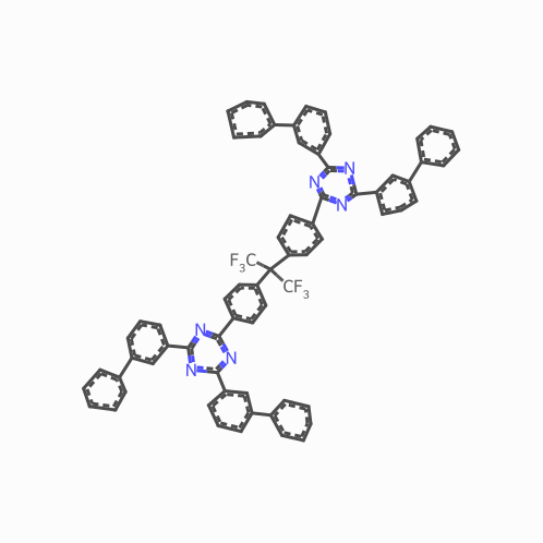 FC(F)(F)C(c1ccc(-c2nc(-c3cccc(-c4ccccc4)c3)nc(-c3cccc(-c4ccccc4)c3)n2)cc1)(c1ccc(-c2nc(-c3cccc(-c4ccccc4)c3)nc(-c3cccc(-c4ccccc4)c3)n2)cc1)C(F)(F)F